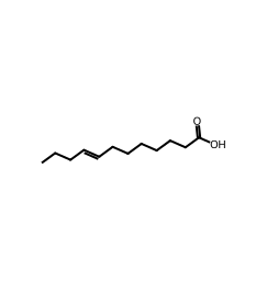 CCC/C=C/CCCCCCC(=O)O